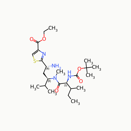 CCOC(=O)c1csc([C@H](N)C[C@H](C(C)C)N(C)C(=O)[C@@H](NC(=O)OC(C)(C)C)C(C)CC)n1